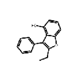 CCc1oc2cccc(O)c2c1-c1ccccc1